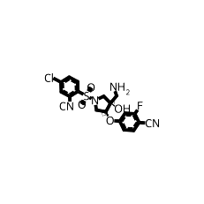 N#Cc1ccc(O[C@H]2CN(S(=O)(=O)c3ccc(Cl)cc3C#N)C[C@@]2(O)CN)cc1F